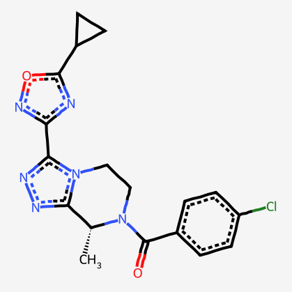 C[C@@H]1c2nnc(-c3noc(C4CC4)n3)n2CCN1C(=O)c1ccc(Cl)cc1